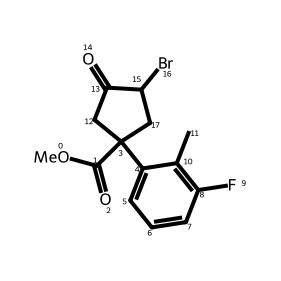 COC(=O)C1(c2cccc(F)c2C)CC(=O)C(Br)C1